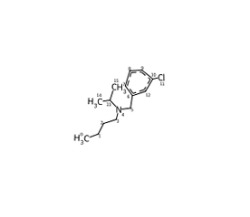 CCCCN(Cc1cccc(Cl)c1)C(C)C